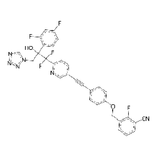 N#Cc1cccc(COc2ccc(C#Cc3ccc(C(F)(F)C(O)(Cn4cnnn4)c4ccc(F)cc4F)nc3)cc2)c1F